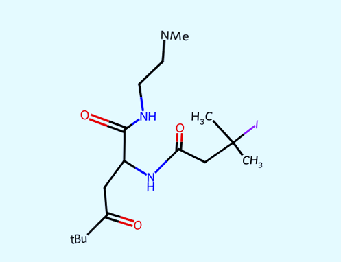 CNCCNC(=O)C(CC(=O)C(C)(C)C)NC(=O)CC(C)(C)I